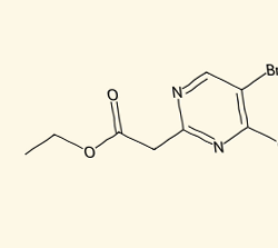 CCOC(=O)Cc1ncc(Br)c(OC)n1